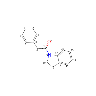 O=C(Cc1ccccc1)N1CCc2cc[c]cc21